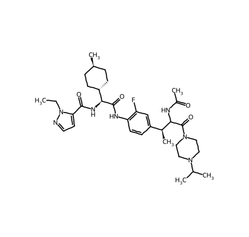 CCn1nccc1C(=O)N[C@H](C(=O)Nc1ccc([C@H](C)C(NC(C)=O)C(=O)N2CCN(C(C)C)CC2)cc1F)[C@H]1CC[C@H](C)CC1